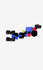 COc1cc(N2CCc3nc(NC(=O)Nc4ccccc4OCC(C)(C)C)sc3C2)nc(OC)n1